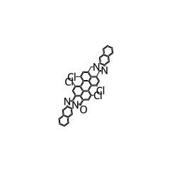 O=c1c2cc(Cl)c3c4c(Cl)cc5c6c(cc(Cl)c(c7c(Cl)cc(c2c37)c2nc3cc7ccccc7cc3n12)c64)Cn1c-5nc2cc3ccccc3cc21